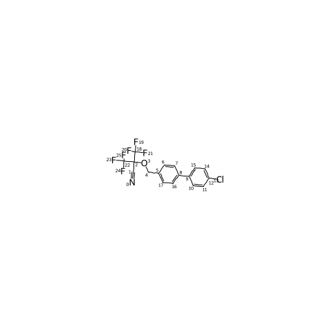 N#CC(OCc1ccc(-c2ccc(Cl)cc2)cc1)(C(F)(F)F)C(F)(F)F